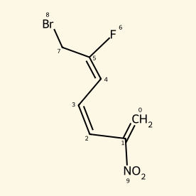 C=C(/C=C\C=C(\F)CBr)[N+](=O)[O-]